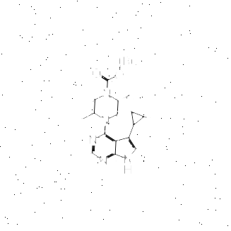 CC1CN(C(=O)OC(C)(C)C)[C@@H](C)CN1c1ncnc2[nH]cc(C3CC3)c12